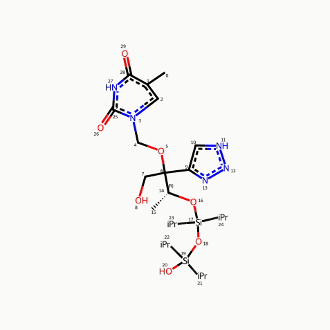 Cc1cn(COC(CO)(c2c[nH]nn2)[C@@H](C)O[Si](O[Si](O)(C(C)C)C(C)C)(C(C)C)C(C)C)c(=O)[nH]c1=O